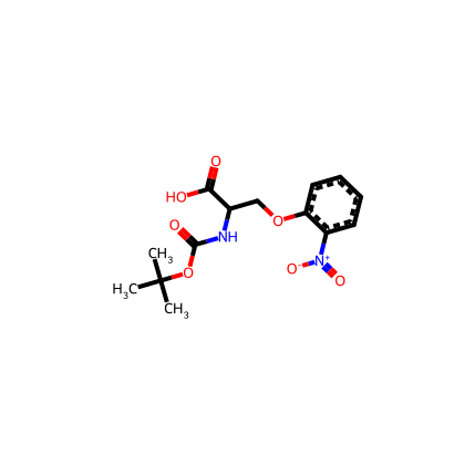 CC(C)(C)OC(=O)NC(COc1ccccc1[N+](=O)[O-])C(=O)O